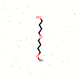 CC(C)OCCCCOCCCCO